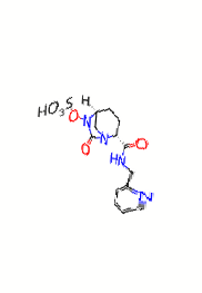 O=C(NCc1ccccn1)[C@H]1CC[C@H]2CN1C(=O)N2OS(=O)(=O)O